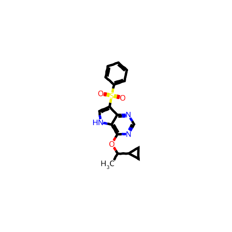 CC(Oc1ncnc2c(S(=O)(=O)c3ccccc3)c[nH]c12)C1CC1